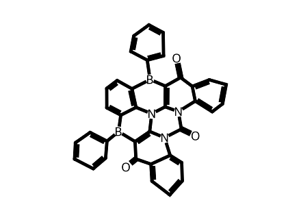 O=c1c2c3n4c5c(c(=O)c6ccccc6n5c(=O)n3c3ccccc13)B(c1ccccc1)c1cccc(c1-4)B2c1ccccc1